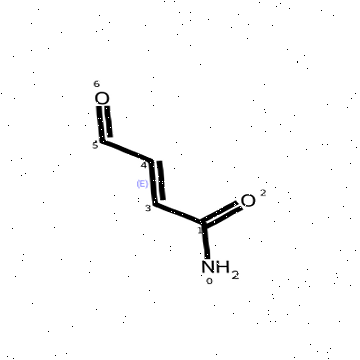 NC(=O)/C=C/[C]=O